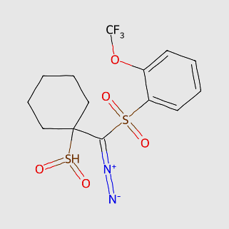 [N-]=[N+]=C(C1([SH](=O)=O)CCCCC1)S(=O)(=O)c1ccccc1OC(F)(F)F